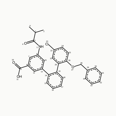 CC(C)C(=O)Nc1cc(C(=O)O)cc(-c2ccccc2-c2cc(Cl)ccc2OCc2ccccc2)c1